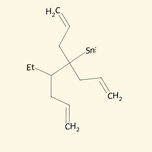 C=CCC(CC)[C]([Sn])(CC=C)CC=C